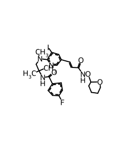 CN(CC(C)(C)NC(=O)c1ccc(F)cc1)c1ncc(/C=C/C(=O)NOC2CCCCO2)cc1I